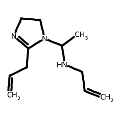 C=CCNC(C)N1CCN=C1CC=C